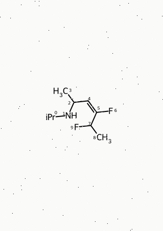 CC(C)NC(C)/C=C(/F)C(C)F